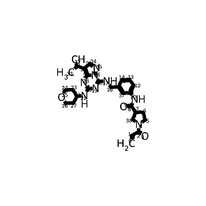 C=CC(=O)N1CCC(C(=O)Nc2cccc(CNc3nc(NC4CCOCC4)nc4c(C(C)C)cnn34)c2)C1